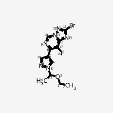 CCOC(C)n1cc(-c2ncn3nc(Br)nc3c2F)cn1